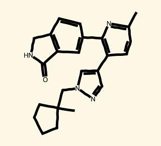 Cc1ccc(-c2cnn(CC3(C)CCCC3)c2)c(-c2ccc3c(c2)C(=O)NC3)n1